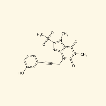 Cn1c(=O)c2c(nc(S(C)(=O)=O)n2C)n(CC#Cc2cccc(O)c2)c1=O